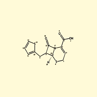 O=C(O)C1=CCS[C@H]2C(Cc3cccs3)C(=O)N12